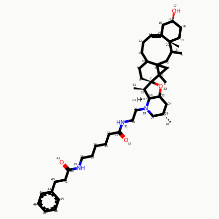 CC1CC23CC2(C)[C@]2(CCC3CC/C=C3/C[C@@H](O)CC[C@@]31C)OC1C[C@H](C)CN(CCNC(=O)CCCCCNC(=O)CCc3ccccc3)[C@H]1[C@H]2C